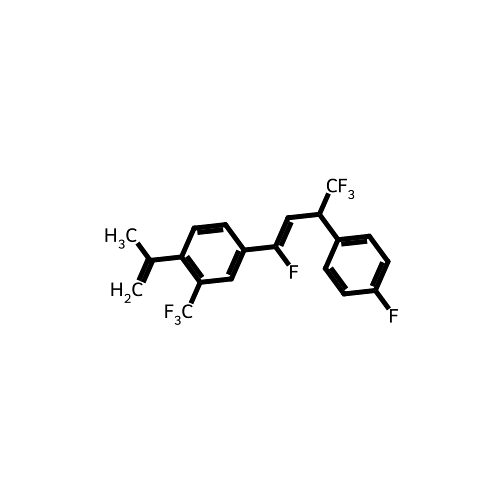 C=C(C)c1ccc(/C(F)=C/C(c2ccc(F)cc2)C(F)(F)F)cc1C(F)(F)F